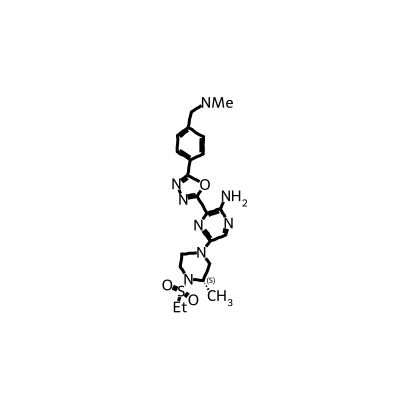 CCS(=O)(=O)N1CCN(c2cnc(N)c(-c3nnc(-c4ccc(CNC)cc4)o3)n2)C[C@@H]1C